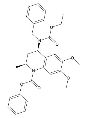 CCOC(=O)N(Cc1ccccc1)[C@@H]1C[C@H](C)N(C(=O)Oc2ccccc2)c2cc(OC)c(OC)cc21